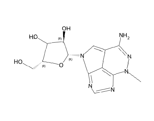 CN1N=C(N)c2cn([C@@H]3O[C@H](CO)C(O)[C@H]3O)c3ncnc1c23